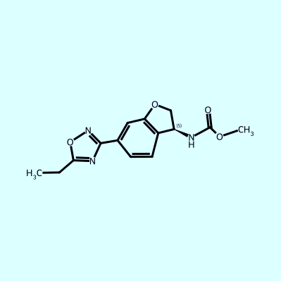 CCc1nc(-c2ccc3c(c2)OC[C@H]3NC(=O)OC)no1